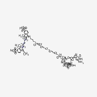 CCN1/C(=C/C=C/C=C/C2=[N+](CCCCCC(=O)NCCOCCOCCOCCOCCC(=O)NCC(C)(C)SSCO[C@@H]3C[C@H](n4cnc5c(=O)[nH]c(N)nc54)O[C@@H]3COP(=O)(O)OP(=O)(O)OP(=O)(O)O)c3ccc(S(=O)(=O)O)cc3C2(C)C)C(C)(C)c2cc(S(=O)(=O)O)ccc21